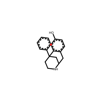 Oc1ccc2c(c1)C1(c3ccccc3)CCNC(C2)C1